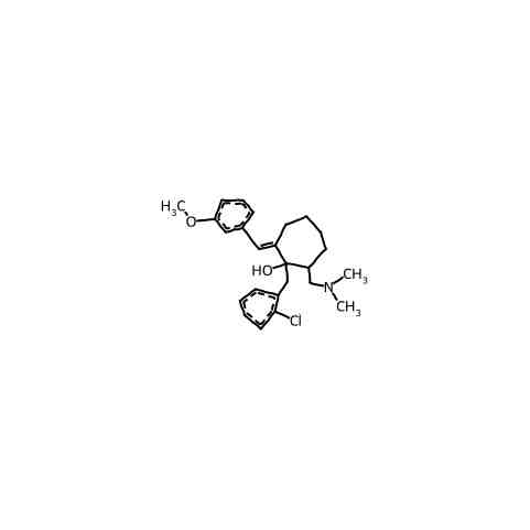 COc1cccc(C=C2CCCCC(CN(C)C)C2(O)Cc2ccccc2Cl)c1